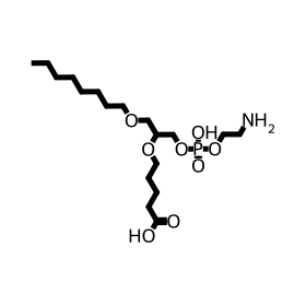 CCCCCCCCOCC(COP(=O)(O)OCCN)OCCCCC(=O)O